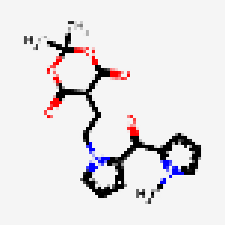 Cn1cccc1C(=O)c1cccn1CCC1C(=O)OC(C)(C)OC1=O